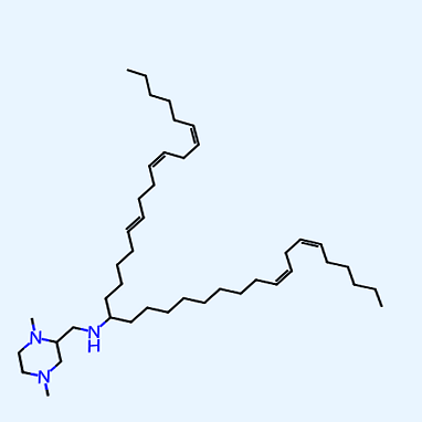 CCCCC/C=C\C/C=C\CC/C=C/CCCCC(CCCCCCCC/C=C\C/C=C\CCCCC)NCC1CN(C)CCN1C